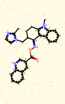 Cc1nccn1CC1CCc2c(c3ccccc3n2C)C1=NOC(=O)c1cnc2ccccc2c1